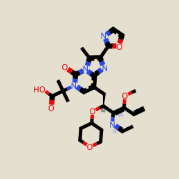 C=C/C(OC)=C(\N=C/C)[C@H](Cc1cn(C(C)(C)C(=O)O)c(=O)n2c(C)c(-c3ncco3)nc12)OC1CCOCC1